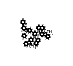 CC1(C)c2ccccc2-c2ccc(N(c3cc(-c4ccc5c6c7sc8ccccc8c7ccc6n(-c6ccccc6)c5c4)cc(N(C4=CC5C(C=C4)c4ccccc4C5(C)C)c4cccc5ccccc45)c3)c3cccc4ccccc34)cc21